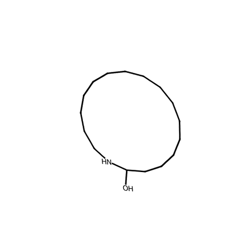 OC1CCCCCCCCCCCCCCCN1